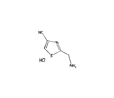 Cl.N#Cc1csc(CN)n1